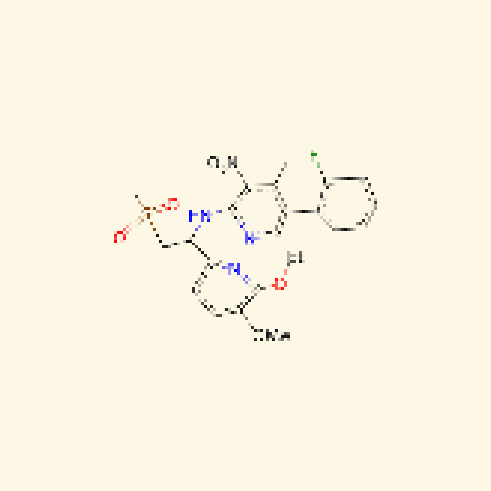 CCOc1nc(C(CS(C)(=O)=O)Nc2ncc(-c3ccccc3F)c(C)c2[N+](=O)[O-])ccc1OC